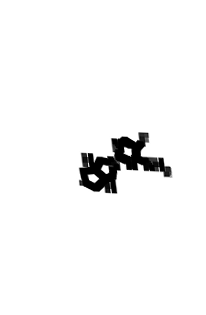 Nc1nc(N2C[C@H]3C[CH]C[C@H]3C2)ncc1F